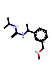 C=C(NC(C)C)NC(C)c1cccc(COC)c1